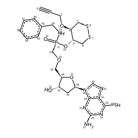 C#CCO[C@H]1CSSC[C@@H]1OP(=O)(COC[C@H]1O[C@@H](n2cnc3c(S)nc(N)nc32)C[C@@H]1O)NCc1ccccc1